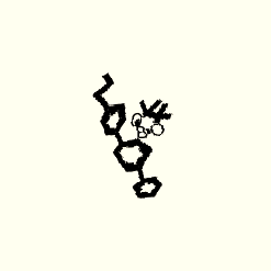 CCCc1ccc(-c2ccc(-c3ccccc3)cc2B2OC(C)(C)C(C)(C)O2)cc1